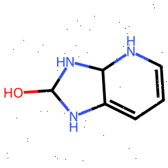 OC1NC2=CC=CNC2N1